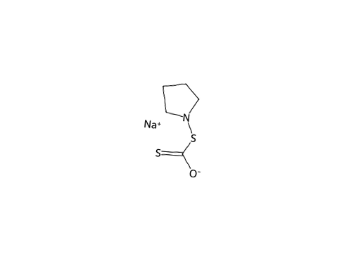 [Na+].[O-]C(=S)SN1CCCC1